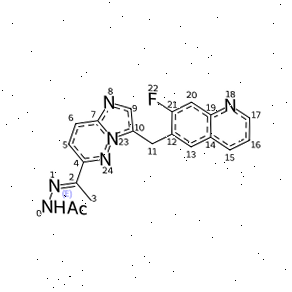 CC(=O)N/N=C(\C)c1ccc2ncc(Cc3cc4cccnc4cc3F)n2n1